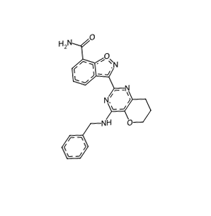 NC(=O)c1cccc2c(-c3nc4c(c(NCc5ccccc5)n3)OCCC4)noc12